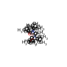 Cc1ccc2c(c1)N(c1cc3c(cc1-c1ccc([Si](C)(C)C)cc1)C(C)(C)CCC3(C)C)c1cc(C)cc3c1B2c1oc2cc4c(cc2c1N3c1ccc2c(c1)C(C)(C)CCC2(C)C)C(C)(C)CCC4(C)C